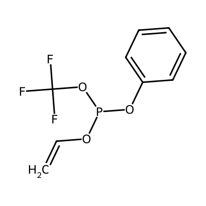 C=COP(Oc1ccccc1)OC(F)(F)F